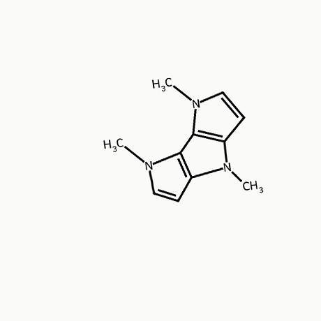 Cn1ccc2c1c1c(ccn1C)n2C